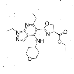 CCOC(=O)[C@@H]1COC(c2c(CC)nc3c(cnn3CC)c2NC2CCOCC2)=N1